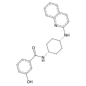 O=C(N[C@H]1CC[C@@H](Nc2ccc3ccccc3n2)CC1)c1cccc(O)c1